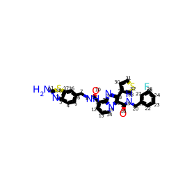 Nc1nc2ccc(CNC(=O)c3cccn4c(C(=O)NCc5cccc(F)c5)c(-c5ccsc5)nc34)cc2s1